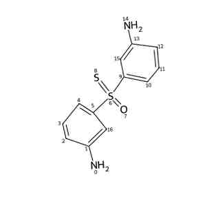 Nc1cccc(S(=O)(=S)c2cccc(N)c2)c1